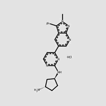 CC(C)c1c2cc(-c3ccnc(N[C@H]4CC[C@H](N)C4)n3)cnc2nn1C.Cl